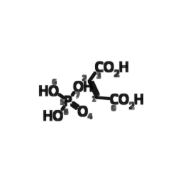 O=C(O)/C=C\C(=O)O.O=P(O)(O)O